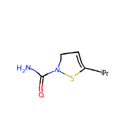 CC(C)C1=CCN(C(N)=O)S1